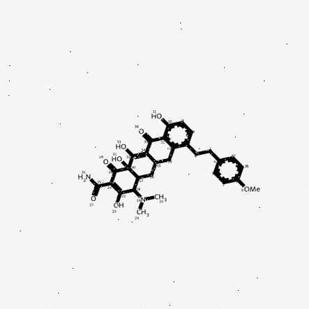 COc1ccc(CCc2ccc(O)c3c2CC2CC4C(N(C)C)C(O)=C(C(N)=O)C(=O)C4(O)C(O)=C2C3=O)cc1